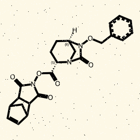 O=C(ON1C(=O)C2C3C=CC(C3)C2C1=O)[C@@H]1CC[C@@H]2CN1C(=O)N2OCc1ccccc1